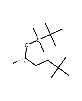 C[C@@H](CCC(C)(C)C)O[Si](C)(C)C(C)(C)C